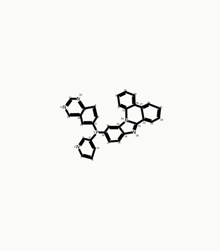 c1cncc(P(c2ccc3ncncc3c2)c2ccc3nc4c5ccccc5c5ccccc5n4c3c2)c1